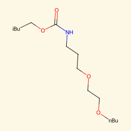 CCCCOCCOCCCNC(=O)OCC(C)CC